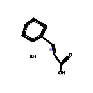 O=C(O)/C=C/c1c[c]ccc1.[KH]